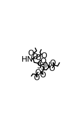 CCC(=O)OC(=N)CC(SSC(CC(=N)OC(=O)CC)C(=O)OC(=O)CC)C(=O)OC(=O)CC